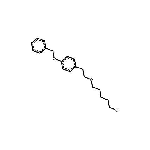 ClCCCCCOCCc1ccc(OCc2ccccc2)cc1